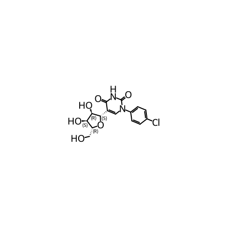 O=c1[nH]c(=O)n(-c2ccc(Cl)cc2)cc1[C@@H]1O[C@H](CO)[C@@H](O)[C@H]1O